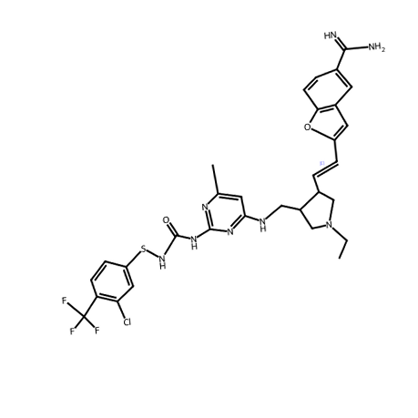 CCN1CC(/C=C/c2cc3cc(C(=N)N)ccc3o2)C(CNc2cc(C)nc(NC(=O)NSc3ccc(C(F)(F)F)c(Cl)c3)n2)C1